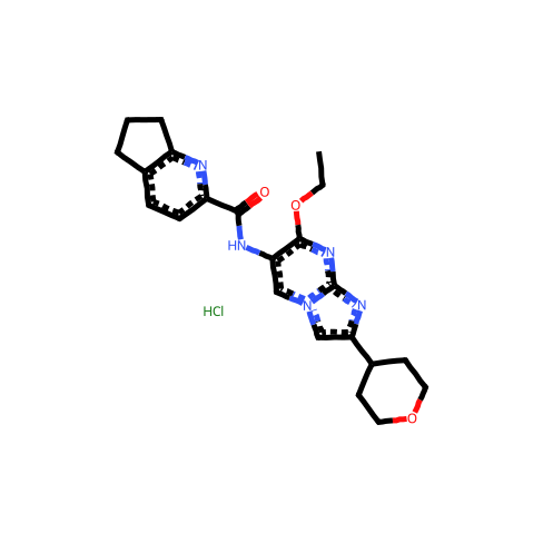 CCOc1nc2nc(C3CCOCC3)cn2cc1NC(=O)c1ccc2c(n1)CCC2.Cl